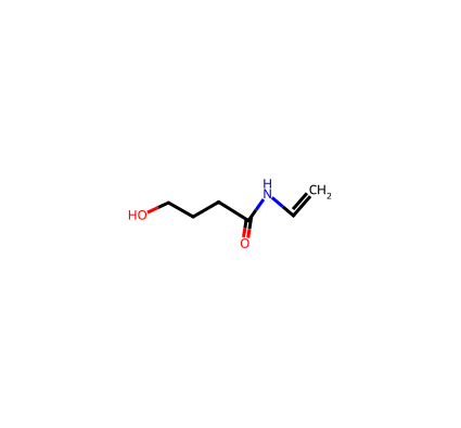 C=CNC(=O)CCCO